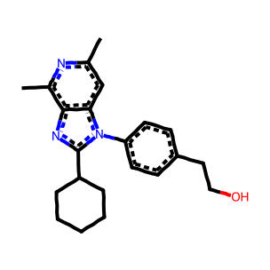 Cc1cc2c(nc(C3CCCCC3)n2-c2ccc(CCO)cc2)c(C)n1